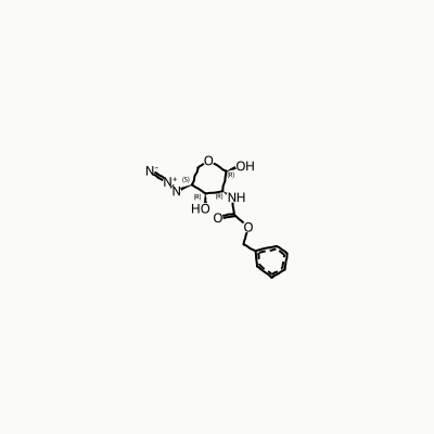 [N-]=[N+]=N[C@H]1CO[C@@H](O)[C@H](NC(=O)OCc2ccccc2)[C@H]1O